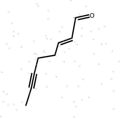 CC#CCCC=C[C]=O